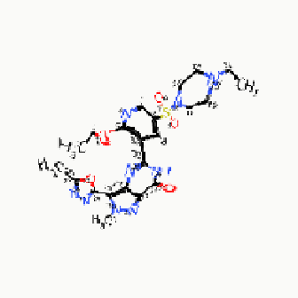 CCOc1ncc(S(=O)(=O)N2CCN(CC)CC2)cc1-c1nc2c(-c3nnc(C)o3)n(C)nc2c(=O)[nH]1